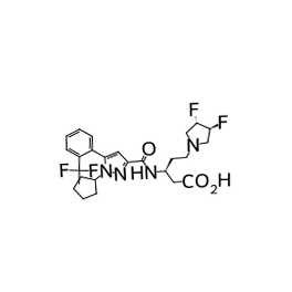 CC(F)(F)c1ccccc1-c1cc(C(=O)N[C@@H](CCN2C[C@H](F)[C@@H](F)C2)CC(=O)O)nn1C1CCCC1